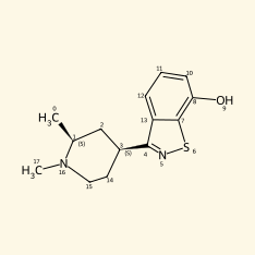 C[C@H]1C[C@@H](c2nsc3c(O)cccc23)CCN1C